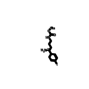 CC(C)(C)OC(=O)NCCC[C@H](N)C1C=CC(I)=CC1